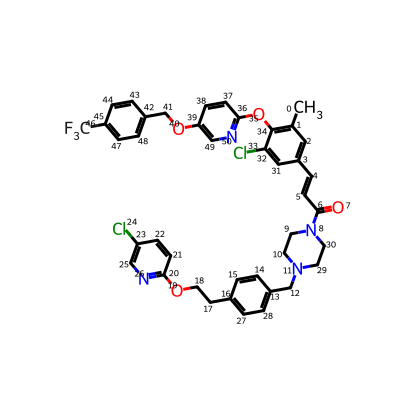 Cc1cc(/C=C/C(=O)N2CCN(Cc3ccc(CCOc4ccc(Cl)cn4)cc3)CC2)cc(Cl)c1Oc1ccc(OCc2ccc(C(F)(F)F)cc2)cn1